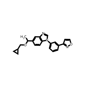 CC(OCC1CC1)c1ccc2c(c1)ncn2-c1cccc(-c2ccon2)c1